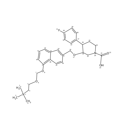 C[Si](C)(C)CCOCOc1cccc2cc(COC3CN(C(=O)O)CCC3c3ccc(F)cc3)ccc12